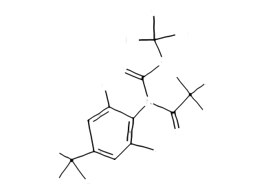 CC(C)(C)OC(=O)N(C(=O)C(F)(F)F)c1c(Cl)cc(C(F)(F)F)cc1Cl